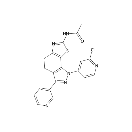 CC(=O)Nc1nc2c(s1)-c1c(c(-c3cccnc3)nn1-c1ccnc(Cl)c1)CC2